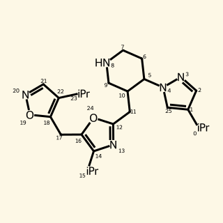 CC(C)c1cnn(C2CCNCC2Cc2nc(C(C)C)c(Cc3oncc3C(C)C)o2)c1